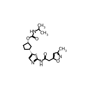 Cc1cc(CC(=O)Nc2ncc([C@@H]3CC[C@H](OC(=O)NC(C)C)C3)s2)on1